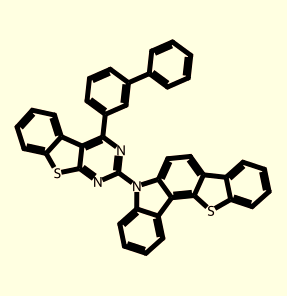 c1ccc(-c2cccc(-c3nc(-n4c5ccccc5c5c6sc7ccccc7c6ccc54)nc4sc5ccccc5c34)c2)cc1